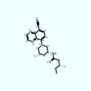 CC[C@@H](C)CC(=O)N[C@@H]1C[C@H](C)CN(c2ccc(C#N)c3nccnc23)C1